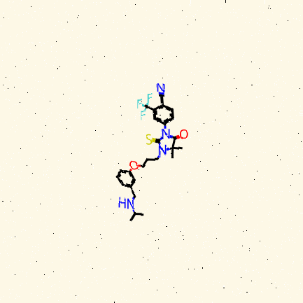 CC(C)NCc1cccc(OCCCN2C(=S)N(c3ccc(C#N)c(C(F)(F)F)c3)C(=O)C2(C)C)c1